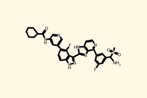 CS(=O)(=O)C(N)c1cc(F)cc(-c2nccc3[nH]c(-c4n[nH]c5ccc(-c6cncc(NC(=O)C7CCCCC7)c6)c(F)c45)nc23)c1